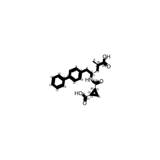 C[C@H](C[C@@H](Cc1ccc(-c2ccccc2)cc1)NC(=O)[C@@H]1C[C@@H]1C(=O)O)C(=O)O